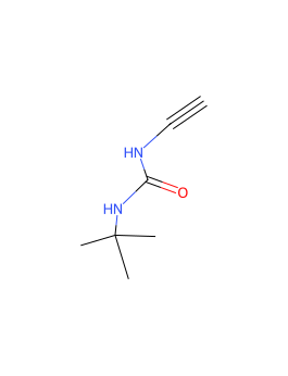 C#CNC(=O)NC(C)(C)C